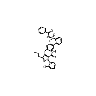 CCCc1nn(-c2ccccc2Cl)c(C(=O)O)c1Cc1ccc(-c2ccccc2S(=O)(=O)NC(=O)c2ccccc2)cc1